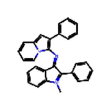 C[N+]1=C(c2ccccc2)/C(=N/c2c(-c3ccccc3)cc3ccccn23)c2ccccc21